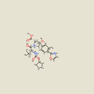 COC(=O)[C@@H]1C[C@@](OC)(c2ccc(-c3ncco3)c(C)c2)CN1C(=O)[C@@H](NC(=O)OC1CCCC1)C(C)(C)C